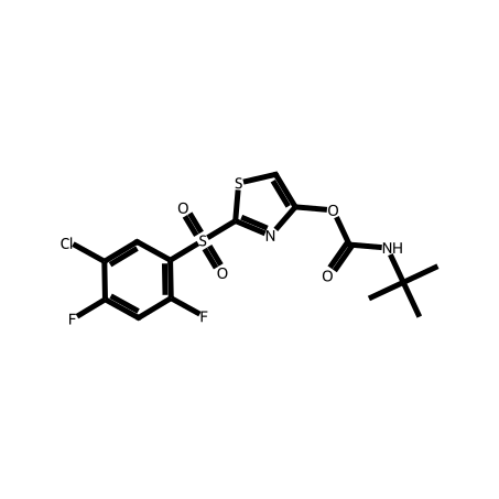 CC(C)(C)NC(=O)Oc1csc(S(=O)(=O)c2cc(Cl)c(F)cc2F)n1